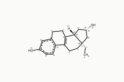 CC[C@]12CCC3=C(CCc4cc(O)ccc43)[C@@H]1C[C@H](O)C2